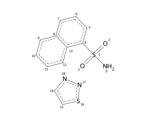 NS(=O)(=O)c1cccc2ccccc12.c1csnn1